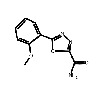 COc1ccccc1-c1nnc(C(N)=O)o1